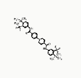 C[N+](C)(C)c1ccc(NC(=O)c2ccc(-c3ccc(C(=O)Nc4ccc([N+](C)(C)C)c(C(F)(F)F)c4)cc3)cc2)cc1C(F)(F)F